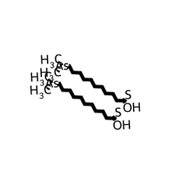 C[As](C)CCCCCCCCCCC(O)=S.C[As](C)CCCCCCCCCCC(O)=S